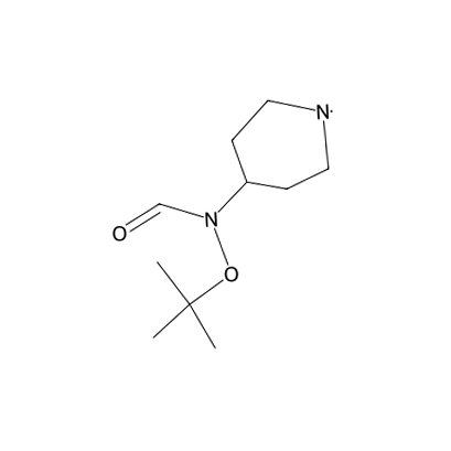 CC(C)(C)ON(C=O)C1CC[N]CC1